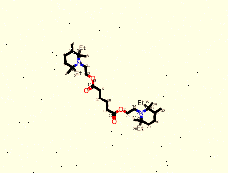 CCC1(C)CCC(C)C(C)(CC)N1CCOC(=O)CCCCC(=O)OCCN1C(C)(CC)CCC(C)C1(C)CC